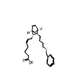 O=C(O)CCC/C=C\C[C@H]1[C@H]2CC[C@H](C2)[C@H]1CCCCSCc1ccccc1